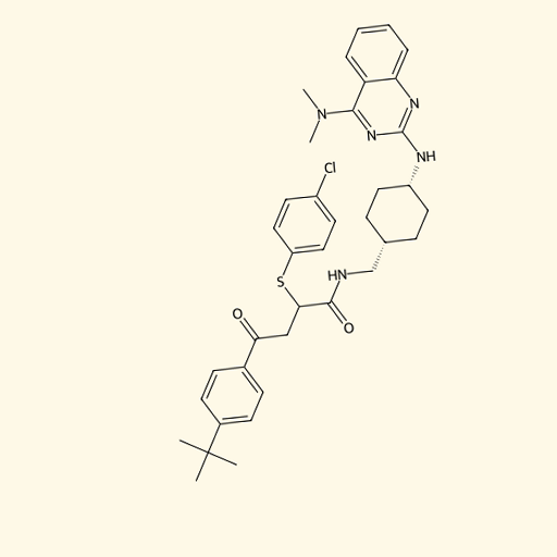 CN(C)c1nc(N[C@H]2CC[C@@H](CNC(=O)C(CC(=O)c3ccc(C(C)(C)C)cc3)Sc3ccc(Cl)cc3)CC2)nc2ccccc12